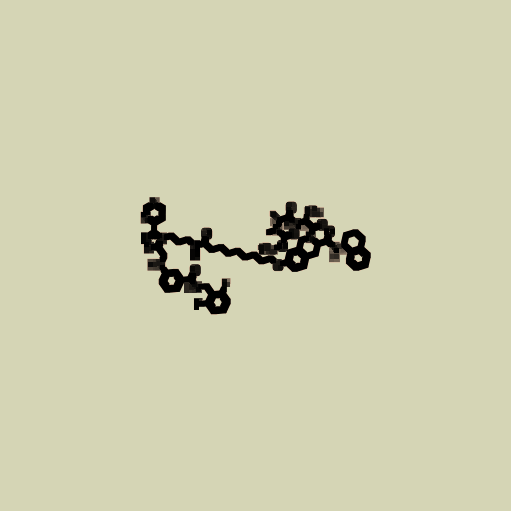 C[C@@H](C(=O)N[C@H](C(=O)N1Cc2cc(OCCCCCCCCC(=O)NCCCn3c(CNc4cccc(C(=O)NCc5c(F)cccc5F)c4)nnc3-c3ccncn3)ccc2CC1C(=O)N[C@@H]1CCCc2ccccc21)C(C)(C)C)N(C)C(=O)OC(C)(C)C